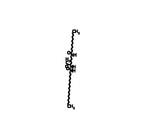 CCCCCCCCCCCCCCCCCCNC(=O)NC(CCCCNC(=O)CCCCCCCCCCC)C(C)=O